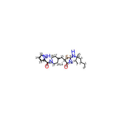 CCCCC(C)(CC)NC1=NC(=O)[C@@](C)(CC2CCN(C(=O)c3ccc[nH]3)CC2)S1